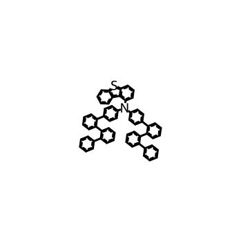 c1ccc(-c2ccccc2-c2ccccc2-c2ccc(N(c3ccc(-c4ccccc4-c4ccccc4-c4ccccc4)cc3)c3cccc4sc5ccccc5c34)cc2)cc1